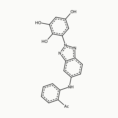 CC(=O)c1ccccc1Nc1ccc2nn(-c3cc(O)cc(O)c3O)nc2c1